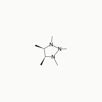 C[C@@H]1[C@H](C)N(C)N(C)N1C